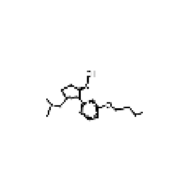 CCCCOc1cccc(C2=C(CC(C)C)CCC2=NO)c1